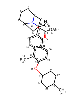 COC(=O)C1CC2CCCC(C1)N2C(C)c1ccc2c(C(F)(F)F)c(OC3CCC(C)CC3)ccc2c1